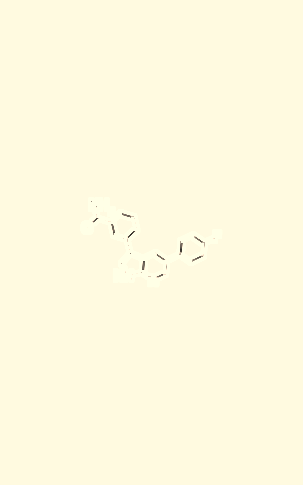 NC(=O)c1cccc(C2CNc3ncc(-c4ccc(F)cc4)cc32)c1